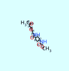 COCC(=O)N[C@H]1CC[C@H](C(=O)NCCOCCC(C)=O)CC1